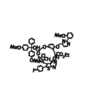 CCOC(=O)[C@H]1Cc2cc(ccc2OCc2ccnc(-c3ccccc3OC)n2)OC[C@@H](COC(c2ccccc2)(c2ccc(OC)cc2)c2ccc(OC)cc2)Oc2ccc(c(C)c2Cl)-c2c(-c3ccc(F)cc3)sc3ncnc(c23)O1